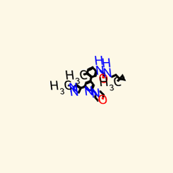 Cc1ccc(NC(=O)NCCC2(C)CC2)cc1-c1cc(-c2cnn(C)c2)nc(N2CCOCC2)c1